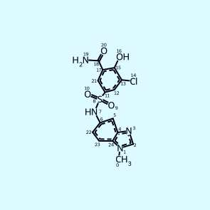 Cn1cnc2cc(NS(=O)(=O)c3cc(Cl)c(O)c(C(N)=O)c3)ccc21